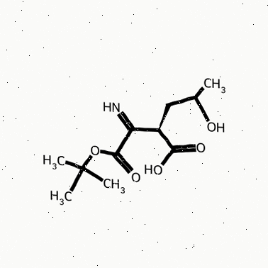 CC(O)C[C@H](C(=N)C(=O)OC(C)(C)C)C(=O)O